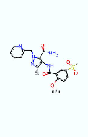 CCCCOc1ccc(S(C)(=O)=O)cc1C(=O)Nc1c(CC)nn(Cc2ccccn2)c1C(N)=O